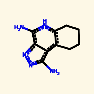 Nc1nnc2c(N)[nH]c3c(c1-2)CCCC3